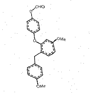 COc1ccc(Cc2ccc(OC)cc2Oc2ccc(OC=O)cc2)cc1